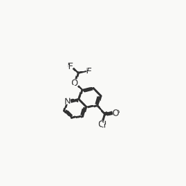 O=C(Cl)c1ccc(OC(F)F)c2ncccc12